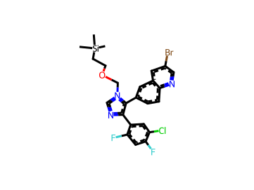 C[Si](C)(C)CCOCn1cnc(-c2cc(Cl)c(F)cc2F)c1-c1ccc2ncc(Br)cc2c1